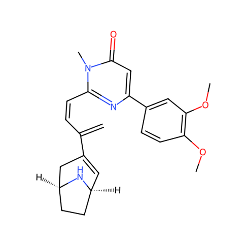 C=C(/C=C\c1nc(-c2ccc(OC)c(OC)c2)cc(=O)n1C)C1=C[C@H]2CC[C@@H](C1)N2